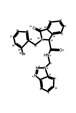 O=C(NCn1nnc2ccccc21)C1c2ccccc2C(=O)N1Cc1ccccc1Br